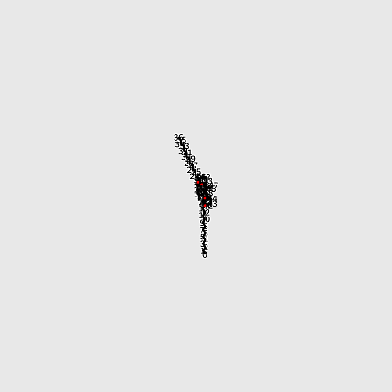 CCCCCCCCCCCCCCCCCN1C=CN(CCCCCCCCCCCCCCCC)C1(Cc1ccccc1)C(CC)c1ccccc1